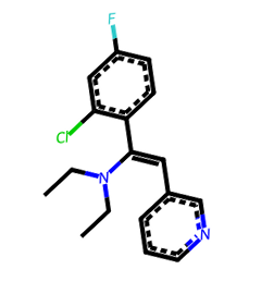 CCN(CC)/C(=C\c1cccnc1)c1ccc(F)cc1Cl